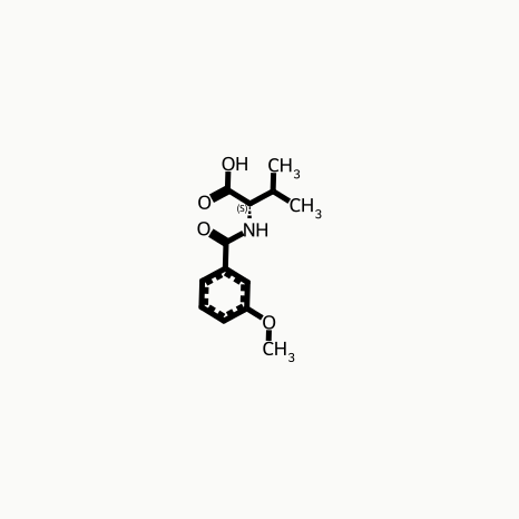 COc1cccc(C(=O)N[C@H](C(=O)O)C(C)C)c1